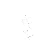 CCC(=NC1(C)C=CC1(C)CC)C(C)(CC)CC